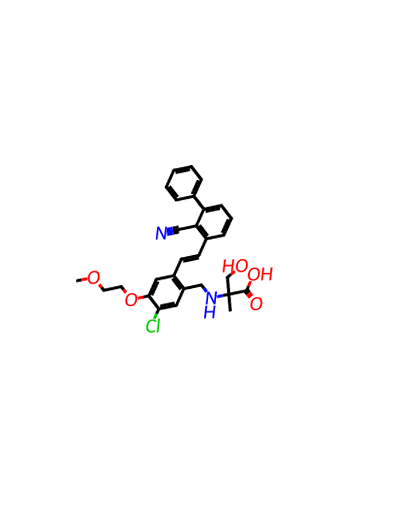 COCCOc1cc(/C=C/c2cccc(-c3ccccc3)c2C#N)c(CNC(C)(CO)C(=O)O)cc1Cl